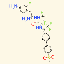 CC(C)(F)C[C@H](N[C@@H](c1ccc(-c2ccc(S(C)(=O)=O)cc2)cc1)C(F)(F)F)C(=O)N[C@@H](N)Cc1ccc(N)cc1F